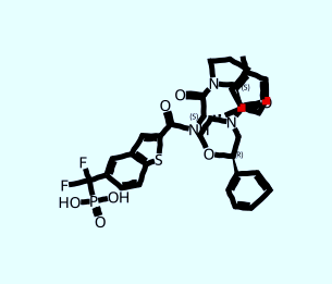 Cc1cccc(C[C@H](NC(=O)c2cc3cc(C(F)(F)P(=O)(O)O)ccc3s2)C(=O)N2CCC[C@H]2C(=O)N2CCO[C@H](c3ccccc3)C2)c1